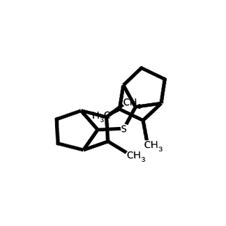 CC1C(C)C2CCC1C2SC1C2CCC1C(C)C2C